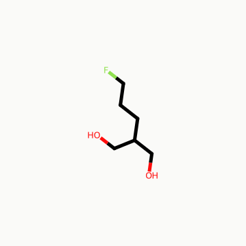 OCC(CO)CCCF